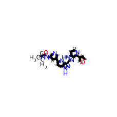 CC(C)(C)C(=O)Nc1cncc(-c2ccc3[nH]nc(-c4nc5c(-c6ccoc6)nccc5[nH]4)c3n2)c1